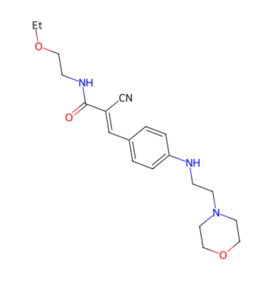 CCOCCNC(=O)/C(C#N)=C/c1ccc(NCCN2CCOCC2)cc1